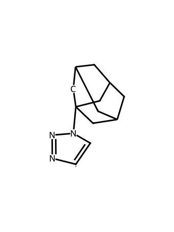 [c]1cn(C23CC4CC(CC(C4)C2)C3)nn1